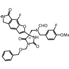 COc1ccc(CN(C=O)C[C@@]2(c3cc4cc5c(c(F)c4o3)C(=O)NC5)NC(=O)N(COCc3ccccc3)C2=O)cc1F